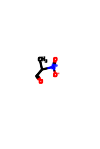 CC(C=O)[N+](=O)[O-]